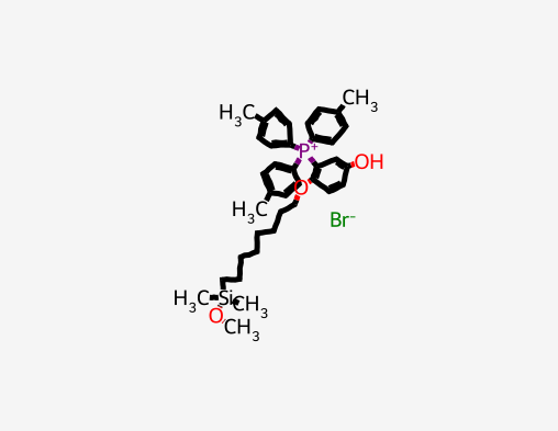 CO[Si](C)(C)CCCCCCCCOc1ccc(O)cc1[P+](c1ccc(C)cc1)(c1ccc(C)cc1)c1ccc(C)cc1.[Br-]